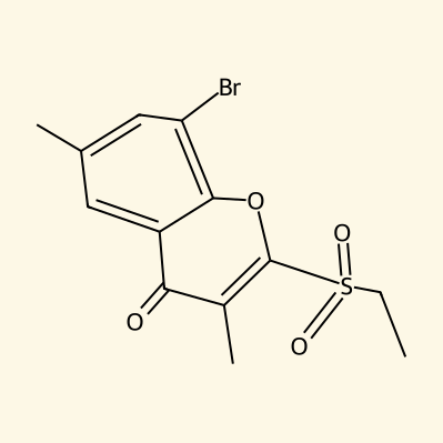 CCS(=O)(=O)c1oc2c(Br)cc(C)cc2c(=O)c1C